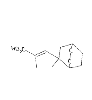 CC(=CC1(C)CC2CCC1CC2)C(=O)O